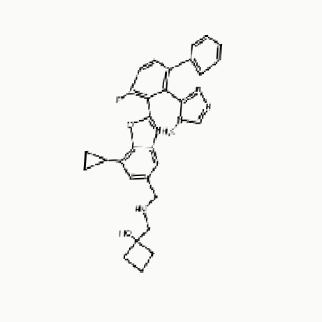 Cn1cnnc1-c1c(-c2ccccc2)ccc(F)c1-c1nc2cc(CNCC3(O)CCC3)cc(C3CC3)c2o1